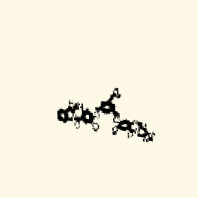 COc1cc2c(cc1OCc1cc(COc3cc4c(cc3OC)C(=O)N3Cc5ncn(C)c5C[C@H]3C=N4)cc(CN(C)C)c1)N=C[C@@H]1Cc3ccccc3CN1C2=O